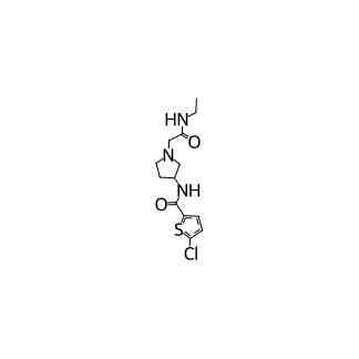 CCNC(=O)CN1CCC(NC(=O)c2ccc(Cl)s2)C1